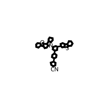 N#Cc1ccc(-c2ccc(-c3cc(-c4ccc5c(c4)sc4ccccc45)cc(-n4c5ccccc5c5c6oc7ccccc7c6ccc54)c3)cc2)cc1